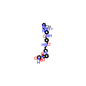 C[C@H]1CCCN1Cc1nc2cc(NC(=O)c3ccc(C(=O)NCCC4CCN(c5cccc6c5C(=O)N(C5CCC(=O)NC5=O)C6=O)CC4)cc3)ccc2[nH]1